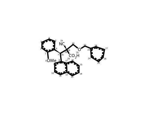 COc1ccccc1[C@H](c1cccc2ccccc12)[C@](C#N)(COCc1ccccc1)C(=O)O